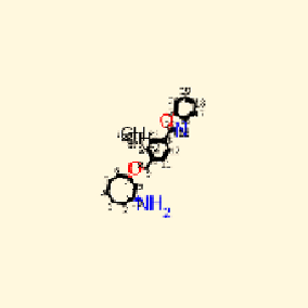 N[C]1CCCCCC(OCc2ccc(-c3nc4ccccc4o3)cc2)C1.[CH2].[CH2]